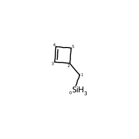 [SiH3]CC1C=CC1